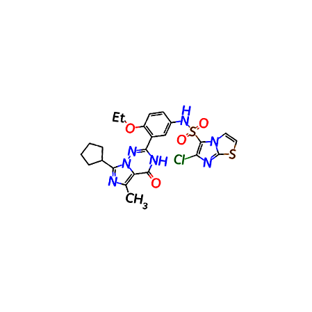 CCOc1ccc(NS(=O)(=O)c2c(Cl)nc3sccn23)cc1-c1nn2c(C3CCCC3)nc(C)c2c(=O)[nH]1